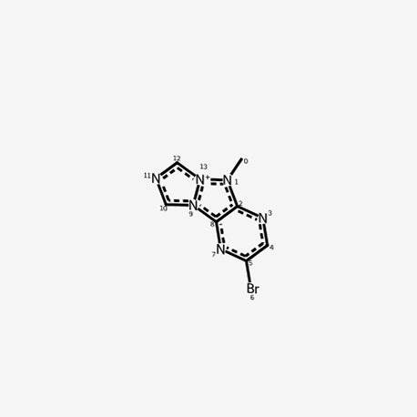 Cn1c2ncc(Br)nc2n2cnc[n+]12